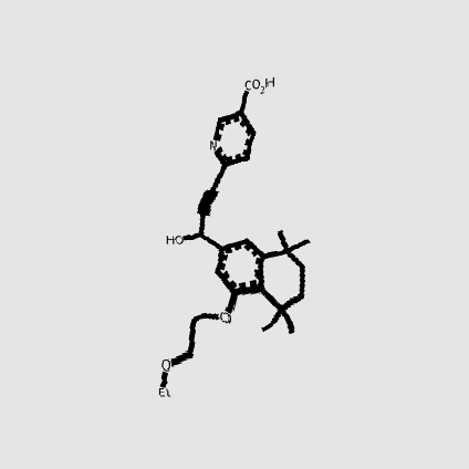 CCOCCOc1cc(C(O)C#Cc2ccc(C(=O)O)cn2)cc2c1C(C)(C)CCC2(C)C